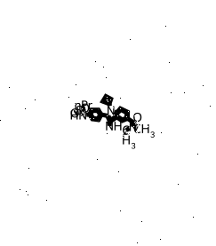 CCCS(=O)(=O)Nc1ccc(-c2c(N)c3cc(C(=O)N(C)C)ccc3n2C2CCC2)cc1